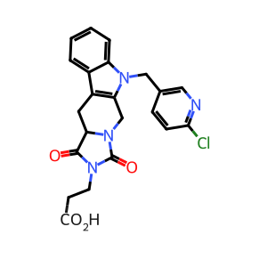 O=C(O)CCN1C(=O)C2Cc3c(n(Cc4ccc(Cl)nc4)c4ccccc34)CN2C1=O